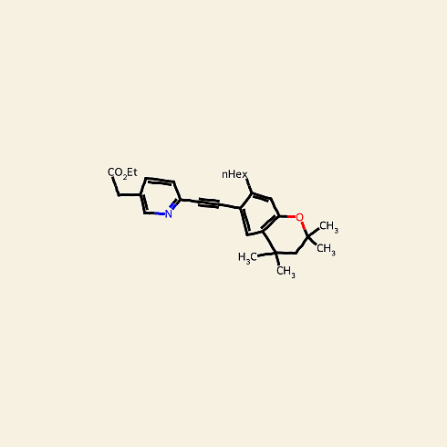 CCCCCCc1cc2c(cc1C#Cc1ccc(CC(=O)OCC)cn1)C(C)(C)CC(C)(C)O2